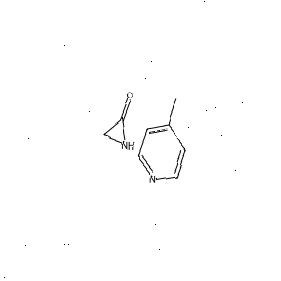 Cc1ccncc1.O=C1CN1